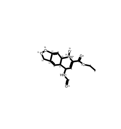 CCOC(=O)C1=CC(NC=O)C2C=C3COOC3=CC2[NH+]1[O-]